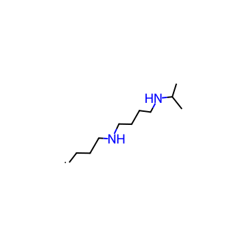 [CH2]CCCNCCCCNC(C)C